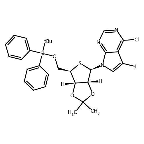 CC1(C)O[C@@H]2[C@H](O1)[C@@H](CO[Si](c1ccccc1)(c1ccccc1)C(C)(C)C)S[C@H]2n1cc(I)c2c(Cl)ncnc21